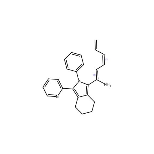 C=C/C=C\C=C(/N)c1c2c(c(-c3ccccn3)p1-c1ccccc1)CCCC2